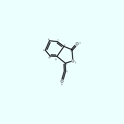 O=C=C1OC(=O)c2ccccc21